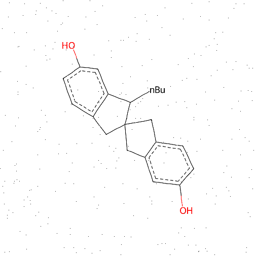 CCCCC1c2cc(O)ccc2CC12Cc1ccc(O)cc1C2